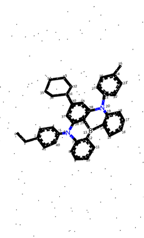 CCc1ccc(N2c3ccccc3B3c4ccccc4N(c4ccc(C)cc4)c4cc(C5CCCCC5)cc2c43)cc1